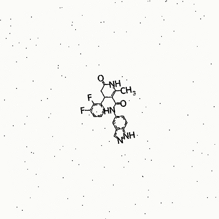 CC1=C(C(=O)Nc2ccc3[nH]ncc3c2)C(c2cccc(F)c2F)CC(=O)N1